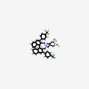 CCCC[N+]1(CCCC)Cc2c(-c3ccc(C(F)(F)F)cc3)cc3ccccc3c2-c2c(c(-c3ccc(C(F)(F)F)cc3)cc3ccccc23)C1